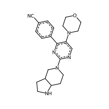 N#Cc1ccc(-c2nc(N3CCC4NCCC4C3)ncc2N2CCOCC2)cc1